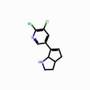 Clc1cc(C2=CCC3CCNC23)cnc1Br